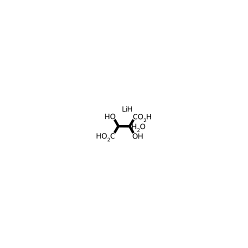 O.O=C(O)C(O)C(O)C(=O)O.[LiH]